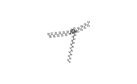 CCCCCCCCCCCCCCCc1n(CCCCCCCC)cc[n+]1CCCCCCCCCCCC